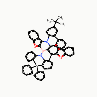 CC(C)(C)c1ccc(N2c3cc4c(oc5ccccc54)c4c3B(c3oc5ccccc5c32)N2c3ccccc3[Si](c3ccccc3)(c3ccccc3)c3cccc-4c32)c(-c2ccccc2)c1